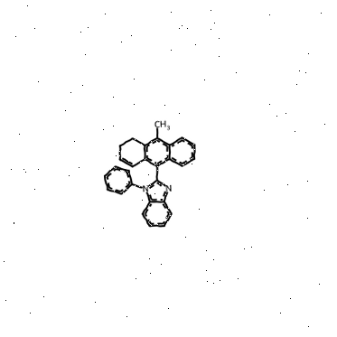 Cc1c2c(c(-c3nc4ccccc4n3-c3ccccc3)c3ccccc13)C=CCC2